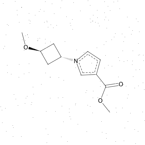 COC(=O)c1ccn([C@H]2C[C@H](OC)C2)c1